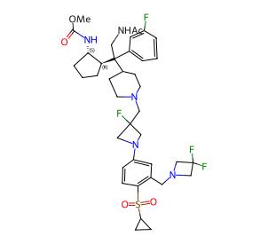 COC(=O)N[C@H]1CCC[C@@H]1C(CNC(C)=O)(c1cccc(F)c1)C1CCN(CC2(F)CN(c3ccc(S(=O)(=O)C4CC4)c(CN4CC(F)(F)C4)c3)C2)CC1